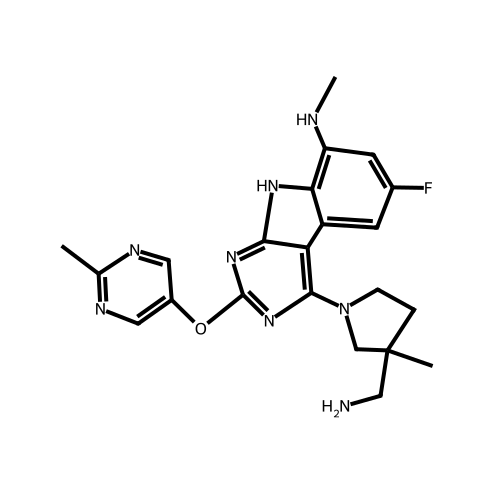 CNc1cc(F)cc2c1[nH]c1nc(Oc3cnc(C)nc3)nc(N3CCC(C)(CN)C3)c12